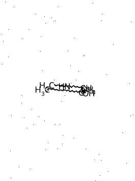 CCCCCCCCC=CCCCCCCCCOP(O)O.CCCCCCCCNCCCCCCCC